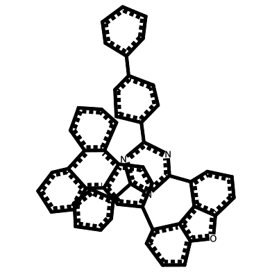 c1ccc(-c2ccc(-c3nc(-c4ccccc4)nc(-c4cccc5oc6cccc(-c7ccc8c9ccccc9c9ccccc9c8c7)c6c45)n3)cc2)cc1